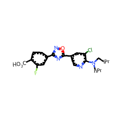 CCCN(CC(C)C)c1ncc(-c2nc(-c3ccc(C(=O)O)c(F)c3)no2)cc1Cl